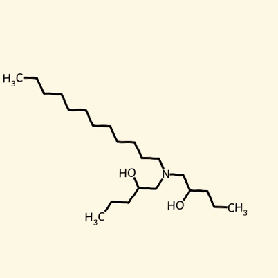 CCCCCCCCCCCCN(CC(O)CCC)CC(O)CCC